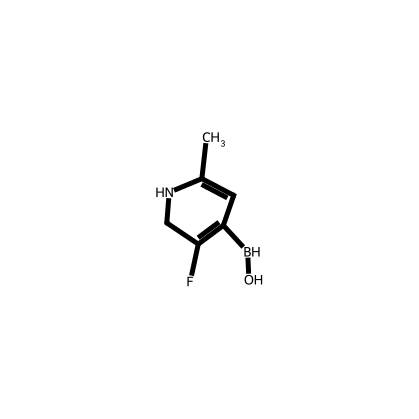 CC1=CC(BO)=C(F)CN1